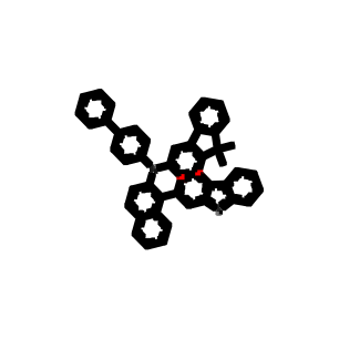 CC1(C)c2ccccc2-c2cc(N(c3ccc(-c4ccccc4)cc3)c3ccc4ccccc4c3-c3ccc4c(c3)sc3ccccc34)ccc21